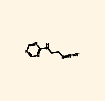 [N-]=[N+]=NCCNc1ncncn1